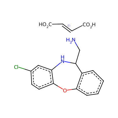 NCC1Nc2cc(Cl)ccc2Oc2ccccc21.O=C(O)/C=C/C(=O)O